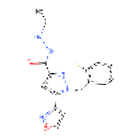 N#CCNNC(=O)c1cc(-c2ccon2)n(Cc2ccccc2F)n1